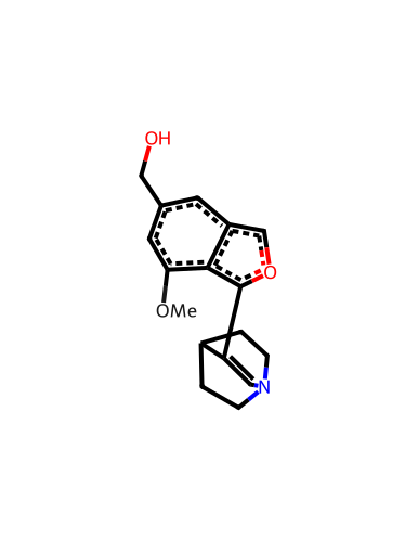 COc1cc(CO)cc2coc(C3=CN4CCC3CC4)c12